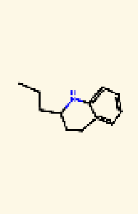 [CH2]CCC1CCc2ccccc2N1